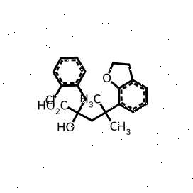 CC(C)(CC(O)(Cc1ccccc1Cl)C(=O)O)c1cccc2c1OCC2